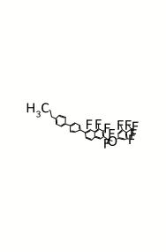 CCCc1ccc(-c2ccc(-c3ccc4cc(C(F)(F)Oc5cc(F)c(C(F)(F)F)c(F)c5)c(F)c(F)c4c3F)cc2)cc1